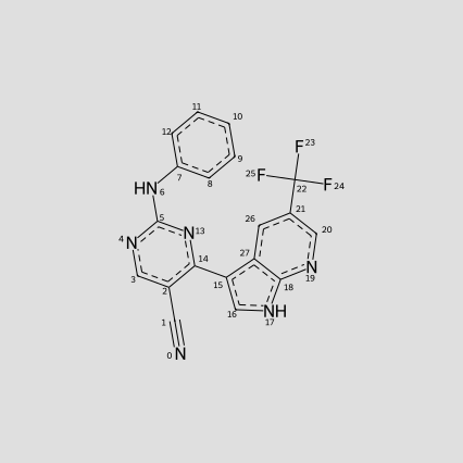 N#Cc1cnc(Nc2ccccc2)nc1-c1c[nH]c2ncc(C(F)(F)F)cc12